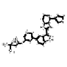 CC(C)(C)CC(O)Nc1cncc(-c2ccc3[nH]nc(-c4nc5c(-c6ccoc6)nccc5[nH]4)c3c2)c1